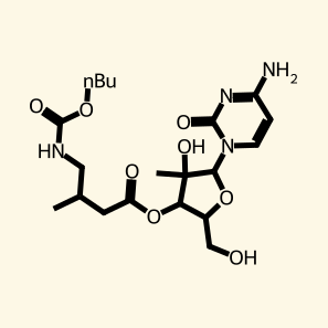 CCCCOC(=O)NCC(C)CC(=O)OC1C(CO)OC(n2ccc(N)nc2=O)C1(C)O